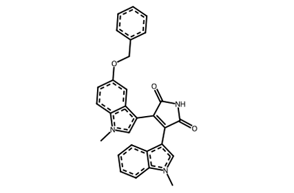 Cn1cc(C2=C(c3cn(C)c4ccc(OCc5ccccc5)cc34)C(=O)NC2=O)c2ccccc21